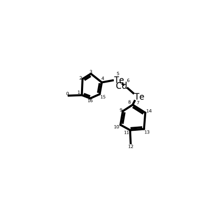 Cc1ccc([Te][Cd][Te]c2ccc(C)cc2)cc1